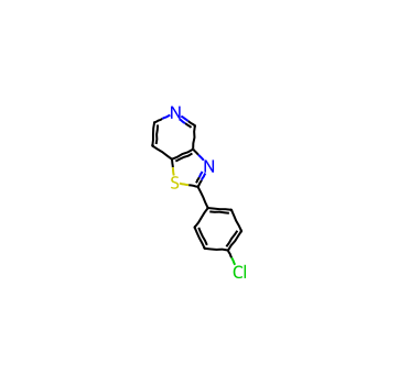 Clc1ccc(-c2nc3cnccc3s2)cc1